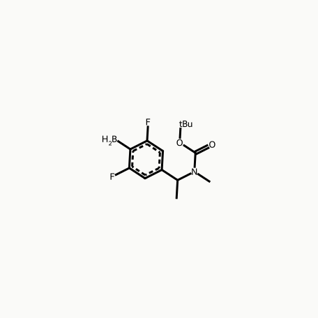 Bc1c(F)cc(C(C)N(C)C(=O)OC(C)(C)C)cc1F